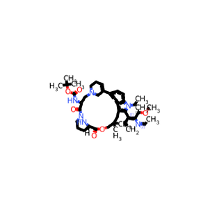 C=C/C(=C(\N=C/C)[C@H](C)OC)c1c2c3cc(ccc3n1CC)C1=CCCN(C1)CC(NC(=O)OC(C)(C)C)C(=O)N1CCC[C@H](N1)C(=O)OCC(C)(C)C2